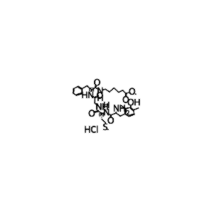 COC(=O)CCCCCNC(=O)[C@H](Cc1ccccc1)NC(=O)CNC(=O)[C@@H](CCSC)NC(=O)C(N)Cc1ccc(C)c(O)c1C.Cl